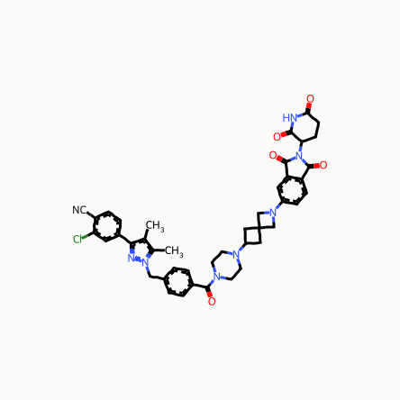 Cc1c(-c2ccc(C#N)c(Cl)c2)nn(Cc2ccc(C(=O)N3CCN(C4CC5(C4)CN(c4ccc6c(c4)C(=O)N(C4CCC(=O)NC4=O)C6=O)C5)CC3)cc2)c1C